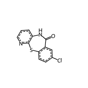 O=C1Nc2cccnc2Sc2ccc(Cl)cc21